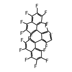 Fc1[c]cc(F)c(-c2c(F)c(F)c(F)c3c(F)c(F)c(F)c(F)c23)c1-c1c(F)c(F)c(F)c2c(F)c(F)c(F)c(F)c12